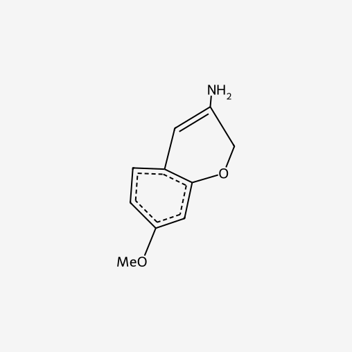 COc1ccc2c(c1)OCC(N)=C2